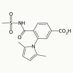 Cc1ccc(C)n1-c1cc(C(=O)O)ccc1C(=O)NS(C)(=O)=O